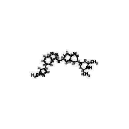 CC1CN(c2cnc3ccc(Sc4nnc5ccc(-c6cnn(C)c6)cn45)cc3c2)CC(C)N1